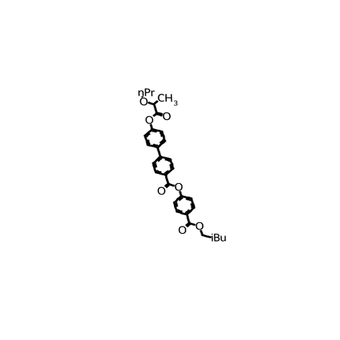 CCCOC(C)C(=O)Oc1ccc(-c2ccc(C(=O)Oc3ccc(C(=O)OCC(C)CC)cc3)cc2)cc1